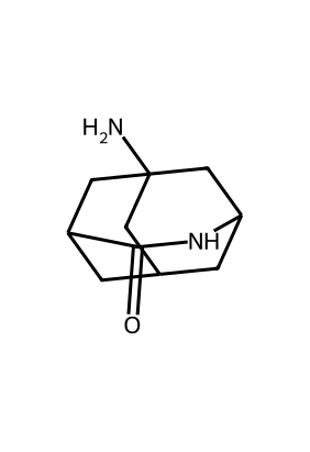 NC12CC3CC(C1)NC(=O)C(C3)C2